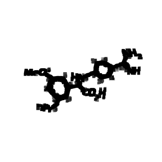 CCCc1cc(OC)cc(C(Nc2ccc(C(=N)N)cc2)C(=O)O)c1